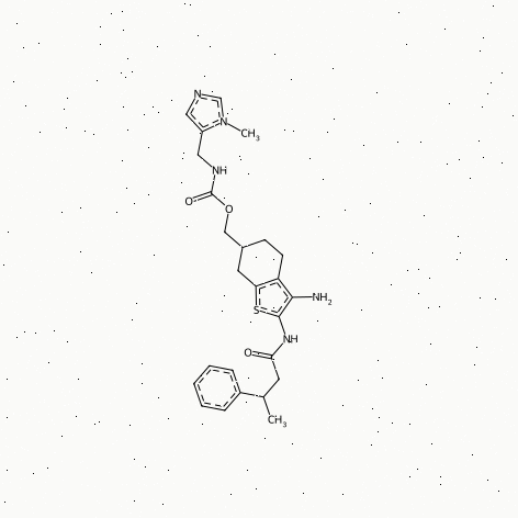 CC(CC(=O)Nc1sc2c(c1N)CCC(COC(=O)NCc1cncn1C)C2)c1ccccc1